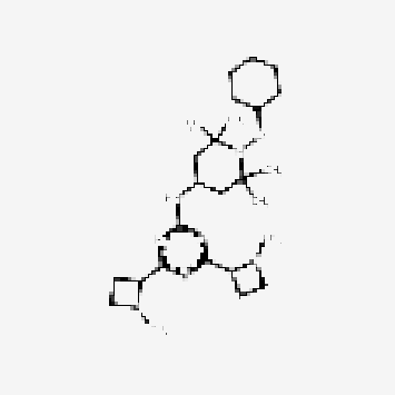 CN1CCC1c1nc(NC2CC(C)(C)N(OC3CCCCC3)C(C)(C)C2)nc(C2CCN2C)n1